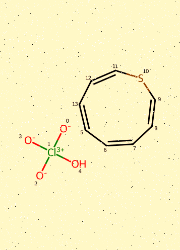 [O-][Cl+3]([O-])([O-])O.c1ccccsccc1